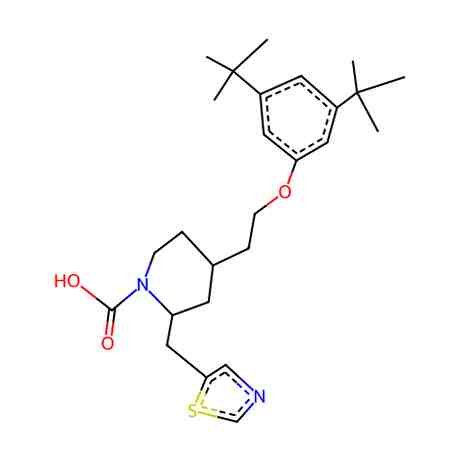 CC(C)(C)c1cc(OCCC2CCN(C(=O)O)C(Cc3cncs3)C2)cc(C(C)(C)C)c1